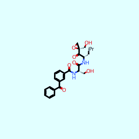 CC(C)C[C@H](NC(=O)[C@H](CO)NC(=O)c1cccc(C(=O)c2ccccc2)c1)C(=O)[C@]1(CO)CO1